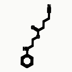 N#CCCCC(=O)OCCNc1ccccc1